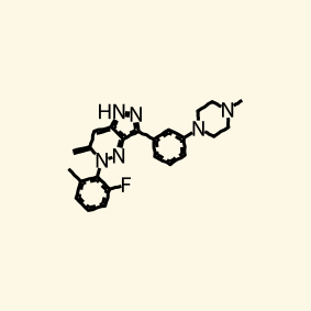 C=C1C=c2[nH]nc(-c3cccc(N4CCN(C)CC4)c3)c2=NN1c1c(C)cccc1F